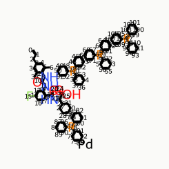 C=CCc1cc(C)c(NC(=O)Nc2cc(F)ccc2C(=O)NC(C(=O)O)C2CCCCC2)c(C)c1.[Pd].c1ccc(P(c2ccccc2)c2ccccc2)cc1.c1ccc(P(c2ccccc2)c2ccccc2)cc1.c1ccc(P(c2ccccc2)c2ccccc2)cc1.c1ccc(P(c2ccccc2)c2ccccc2)cc1